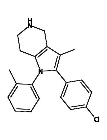 Cc1ccccc1-n1c2c(c(C)c1-c1ccc(Cl)cc1)CNCC2